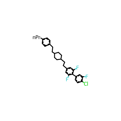 CCCc1ccc(CCC2CCC(CCc3cc(F)c(-c4ccc(Cl)c(F)c4)c(F)c3)CC2)cc1